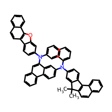 CC1(C)c2cc(N(c3ccccc3)c3ccc4c(c3)c(N(c3ccccc3)c3ccc5c(c3)oc3c6ccccc6ccc53)cc3ccccc34)ccc2-c2c1ccc1ccccc21